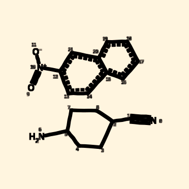 N#CC1CCC(N)CC1.O=[N+]([O-])c1ccc2ccccc2c1